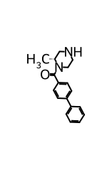 C[C@@H]1CNCCN1C(=O)c1ccc(-c2ccccc2)cc1